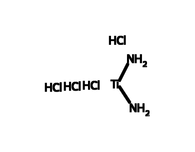 Cl.Cl.Cl.Cl.[NH2][Ti][NH2]